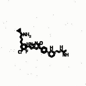 CC(=N)NCC[C@@H]1CCC[C@@H](c2ccc(-n3cc4cc(-c5cc(CCC[C@@H](N)C6CC6)cc(Cl)c5F)[nH]c4nc3=O)cc2)N1